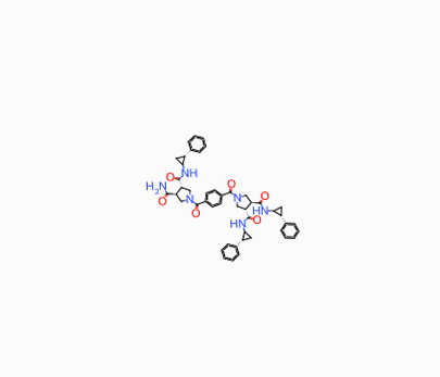 NC(=O)[C@@H]1CN(C(=O)c2ccc(C(=O)N3C[C@@H](C(=O)N[C@H]4C[C@@H]4c4ccccc4)[C@H](C(=O)N[C@H]4C[C@@H]4c4ccccc4)C3)cc2)C[C@H]1C(=O)N[C@H]1C[C@@H]1c1ccccc1